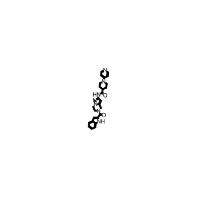 O=C(Nc1cc2n(n1)CCN(C(=O)c1cc3ccccc3[nH]1)C2)C1CCN(c2ccncc2)CC1